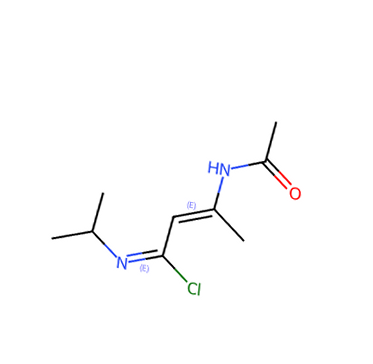 CC(=O)N/C(C)=C/C(Cl)=N\C(C)C